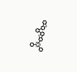 c1ccc(-c2nc(-c3ccccc3)nc(-c3ccc4c(c3)sc3c(-c5ccccc5-c5ccc6sc7ccccc7c6c5)cccc34)n2)cc1